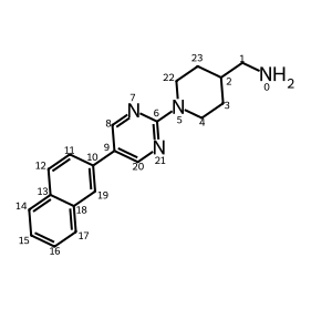 NCC1CCN(c2ncc(-c3ccc4ccccc4c3)cn2)CC1